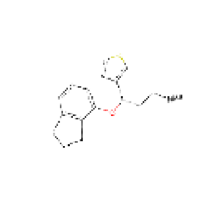 CNCC[C@H](Oc1cccc2c1CCC2)c1ccsc1